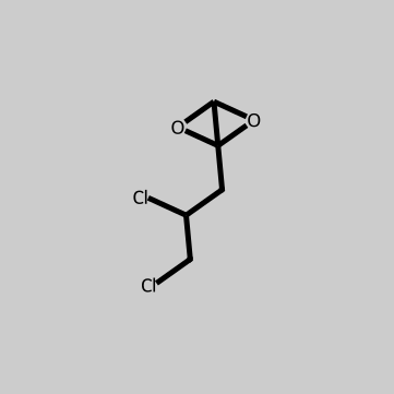 ClCC(Cl)CC12OC1O2